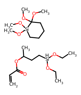 C=CC(=O)OC(C)CC[SiH](OCC)OCC.COC1(OC)CCCC[Si]1(OC)OC